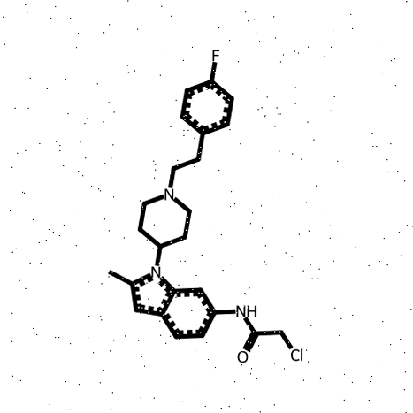 Cc1cc2ccc(NC(=O)CCl)cc2n1C1CCN(CCc2ccc(F)cc2)CC1